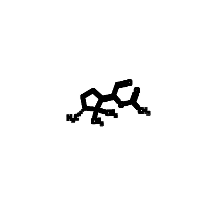 CC(=O)OC(C=O)=C1CC[C@@H](C)C1(C)C